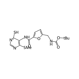 CSc1ncnc(S)c1NC(=O)c1ccc(CNC(=O)OC(C)(C)C)o1